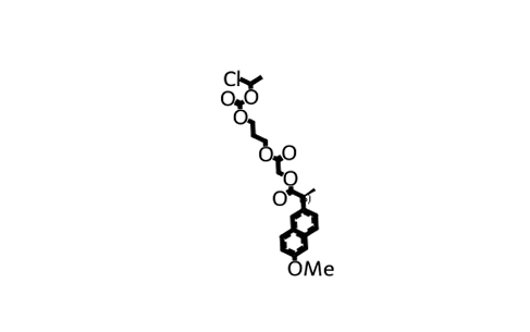 COc1ccc2cc([C@H](C)C(=O)OCC(=O)OCCCOC(=O)OC(C)Cl)ccc2c1